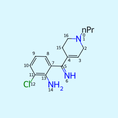 CCCN1CC=C(C(=N)c2cccc(Cl)c2N)CC1